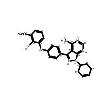 COc1cccc(Oc2ccc(-c3nn(C4CC=CCC4)c4ncnc(N)c34)cc2)c1F